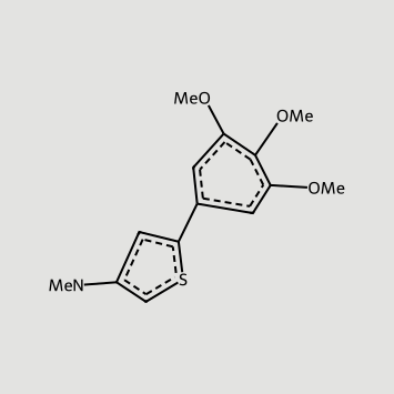 CNc1csc(-c2cc(OC)c(OC)c(OC)c2)c1